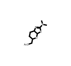 CC(=O)OCC1[C][C]C2N=C(N(C)C)SC2O1